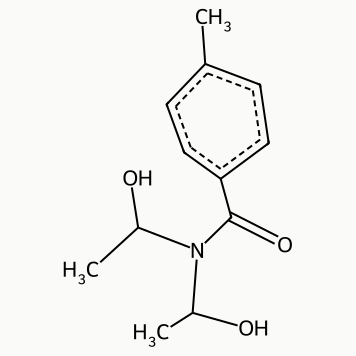 Cc1ccc(C(=O)N(C(C)O)C(C)O)cc1